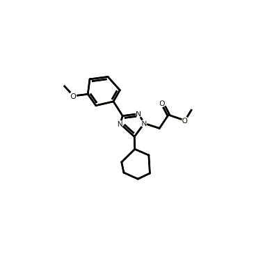 COC(=O)Cn1nc(-c2cccc(OC)c2)nc1C1CCCCC1